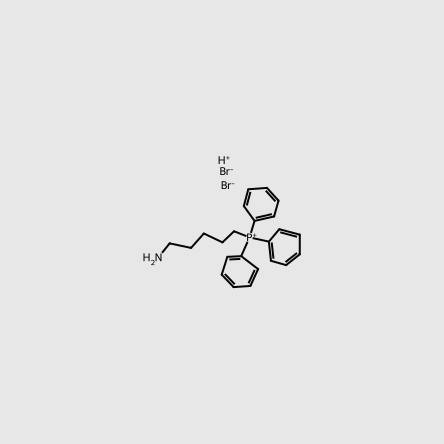 NCCCCC[P+](c1ccccc1)(c1ccccc1)c1ccccc1.[Br-].[Br-].[H+]